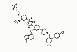 CC1(C)CCC(CN2CCN(c3ccc(C(=O)NS(=O)(=O)c4ccc(OCCCS(C)(=O)=O)c([N+](=O)[O-])c4)c(Oc4cccc5[nH]ccc45)c3)CC2)=C(c2ccc(Cl)cc2)C1